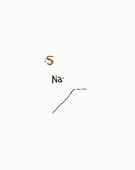 CCC.[Na].[S]